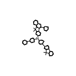 CC1(C)c2ccccc2-c2ccc(-c3ccc(N(c4ccc(-c5ccccc5)cc4)c4ccc5c(c4)C(C)(C)c4c-5c(-c5ccccc5)cc5ccccc45)cc3)cc21